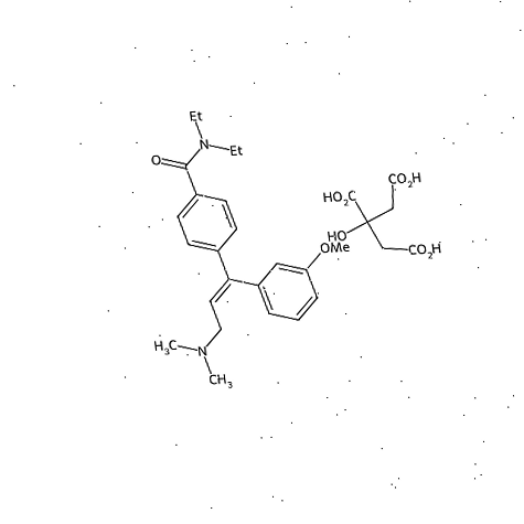 CCN(CC)C(=O)c1ccc(C(=CCN(C)C)c2cccc(OC)c2)cc1.O=C(O)CC(O)(CC(=O)O)C(=O)O